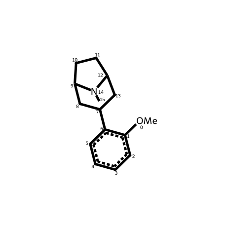 COc1ccccc1C1CC2CCC(C1)N2C